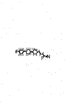 N#CC(F)=CC=CC1CCC(C2CCC(c3ccc(F)cc3)CC2)CC1